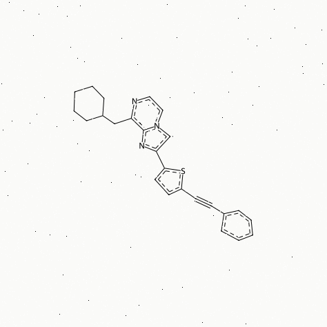 C(#Cc1ccc(-c2[c]n3ccnc(CC4CCCCC4)c3n2)s1)c1ccccc1